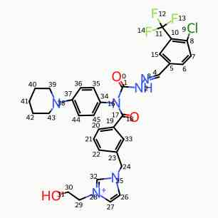 O=C(NN=Cc1ccc(Cl)c(C(F)(F)F)c1)N(C(=O)c1cccc(Cn2cc[n+](CCO)c2)c1)c1ccc(N2CCCCC2)cc1